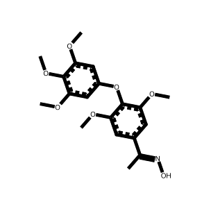 COc1cc(Oc2c(OC)cc(/C(C)=N/O)cc2OC)cc(OC)c1OC